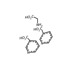 NCC(=O)O.O=C(O)c1cccnc1.O=C(O)c1cccnc1